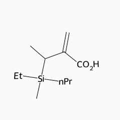 C=C(C(=O)O)C(C)[Si](C)(CC)CCC